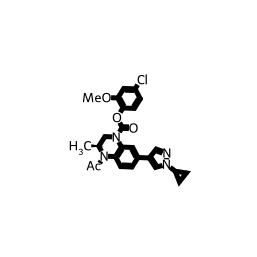 COc1cc(Cl)ccc1OC(=O)N1C[C@H](C)N(C(C)=O)c2ccc(-c3cnn(C4CC4)c3)cc21